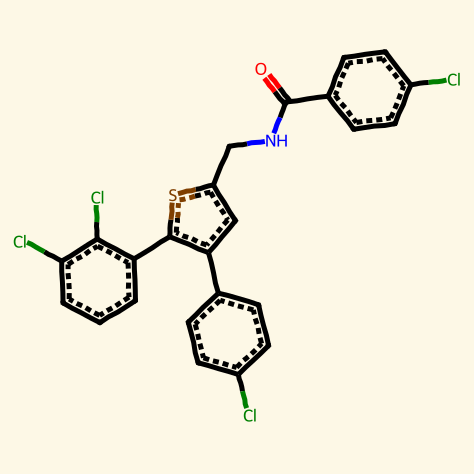 O=C(NCc1cc(-c2ccc(Cl)cc2)c(-c2cccc(Cl)c2Cl)s1)c1ccc(Cl)cc1